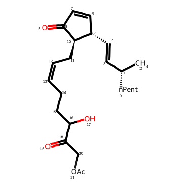 CCCCC[C@@H](C)/C=C/[C@H]1C=CC(=O)[C@@H]1C/C=C\CCC(O)C(=O)COC(C)=O